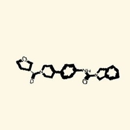 O=C(Nc1ccc(C2=CCN(C(=O)[C@@H]3CCOC3)CC2)cc1)N1Cc2ccccc2C1